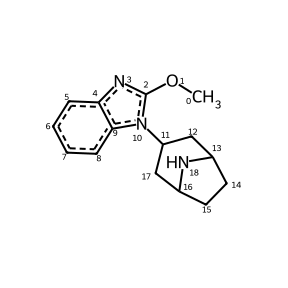 COc1nc2ccccc2n1C1CC2CCC(C1)N2